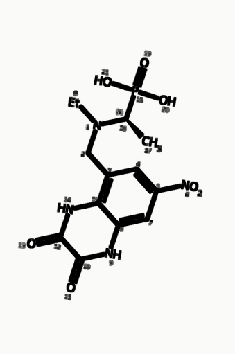 CCN(Cc1cc([N+](=O)[O-])cc2[nH]c(=O)c(=O)[nH]c12)[C@H](C)P(=O)(O)O